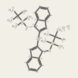 CCCC(C)(C)[Si](C)(C)O[C@@H]1[C]([Hf+2][C]2=Cc3ccccc3[C@H]2O[Si](C)(C)C(C)(C)CCC)=Cc2ccccc21.[Cl-].[Cl-]